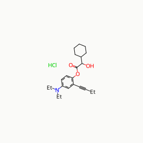 CCC#Cc1cc(N(CC)CC)ccc1OC(=O)C(O)C1CCCCC1.Cl